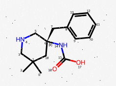 CC1(C)CNC[C@](Cc2ccccc2)(NC(=O)O)C1